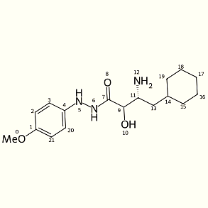 COc1ccc(NNC(=O)C(O)[C@H](N)CC2CCCCC2)cc1